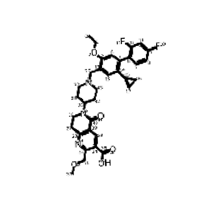 CCOc1cc(-c2ccc(F)cc2F)c(C2CC2)cc1CN1CCC(N2CCc3nc(COC)c(C(=O)O)cc3C2=O)CC1